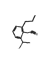 [CH2]C(C)c1cccc(CCC)c1C#N